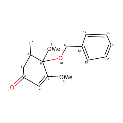 COC1=CC(=O)CC(C)C1(OC)OCc1ccccc1